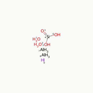 I.O.O.O=[Si](O)O.[AlH3].[AlH3]